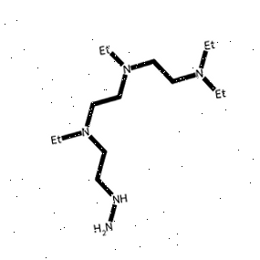 CCN(CC)CCN(CC)CCN(CC)CCNN